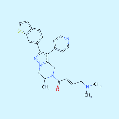 CC1Cn2nc(-c3ccc4ccsc4c3)c(-c3ccncc3)c2CN1C(=O)/C=C/CN(C)C